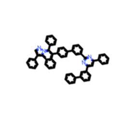 c1ccc(-c2cccc(-c3cc(-c4ccccc4)nc(-c4cccc(-c5ccc(-c6c(-c7ccccc7)n7ncc(-c8ccccc8)c7c7ccccc67)cc5)c4)n3)c2)cc1